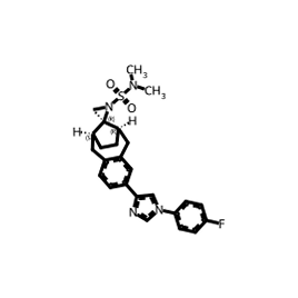 CN(C)S(=O)(=O)N1C[C@@]12[C@@H]1CC[C@H]2Cc2ccc(-c3cn(-c4ccc(F)cc4)cn3)cc2C1